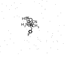 CN(CCc1ccc(F)cc1)S(=O)(=O)c1c(N)sc2c1C(C#N)CC/C2=N/O